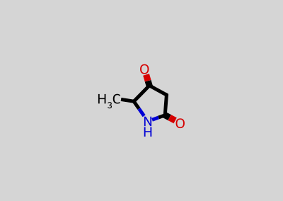 CC1NC(=O)CC1=O